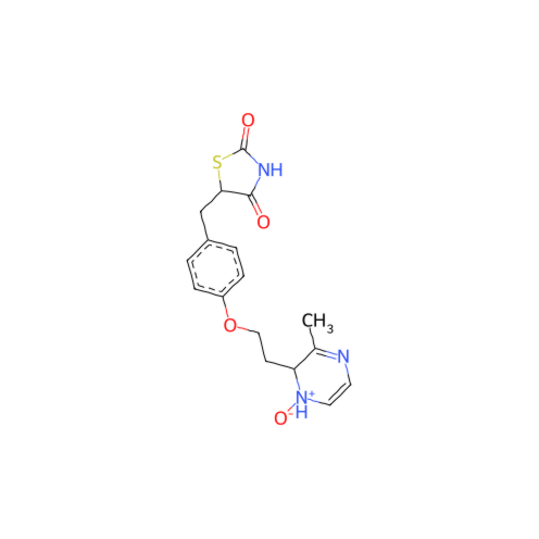 CC1=NC=C[NH+]([O-])C1CCOc1ccc(CC2SC(=O)NC2=O)cc1